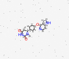 Cc1c(-c2ccc(Oc3nccc4c3CCN4)cc2)n(C)c(=O)[nH]c1=O